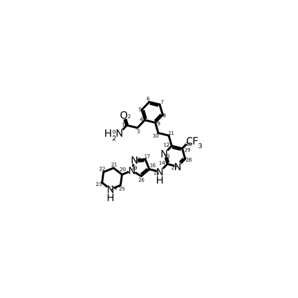 NC(=O)Cc1ccccc1CCc1nc(Nc2cnn(C3CCCNC3)c2)ncc1C(F)(F)F